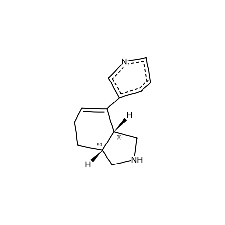 C1=C(c2cccnc2)[C@@H]2CNC[C@@H]2CC1